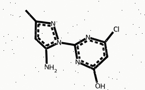 Cc1cc(N)n(-c2nc(O)cc(Cl)n2)n1